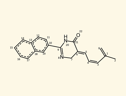 C=C(C)/C=C\C=C1/CN=C(c2ccc3ccccc3c2)NC1=O